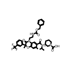 Cc1cc2c(cc1C(=O)N(C(C)C)[C@@H]1CCCN(C(=O)O)C1)N(CCNC(=O)OCc1ccccc1)C(=O)C(C)(c1cccc(C(F)(F)F)c1)O2